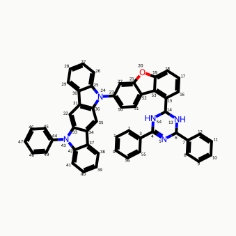 c1ccc(C2=NC(c3ccccc3)NC(c3cccc4oc5cc(-n6c7ccccc7c7cc8c(cc76)c6ccccc6n8-c6ccccc6)ccc5c34)N2)cc1